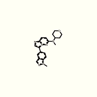 CN(c1ccc2ncc(-c3ccc4c(cnn4C)c3)n2n1)C1CCOCC1